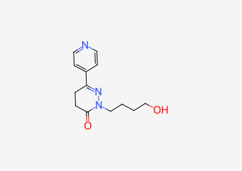 O=C1CCC(c2ccncc2)=NN1CCCCO